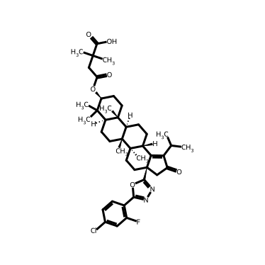 CC(C)C1=C2[C@H]3CC[C@@H]4[C@@]5(C)CC[C@H](OC(=O)CC(C)(C)C(=O)O)C(C)(C)[C@@H]5CC[C@@]4(C)[C@]3(C)CC[C@@]2(c2nnc(-c3ccc(Cl)cc3F)o2)CC1=O